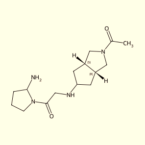 CC(=O)N1C[C@H]2CC(NCC(=O)N3CCCC3N)C[C@H]2C1